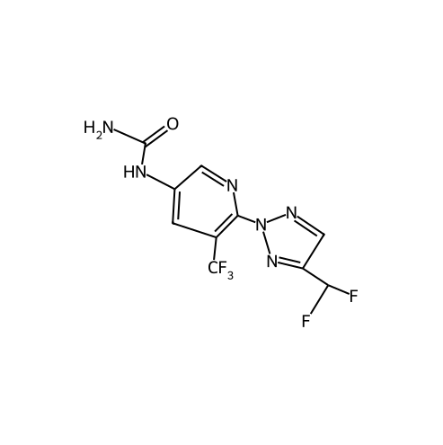 NC(=O)Nc1cnc(-n2ncc(C(F)F)n2)c(C(F)(F)F)c1